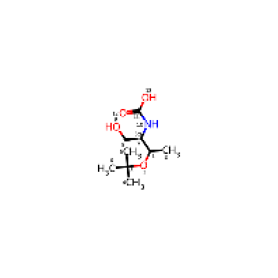 CC(OC(C)(C)C)[C@@H](CO)NC(=O)O